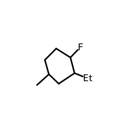 CCC1CC(C)CCC1F